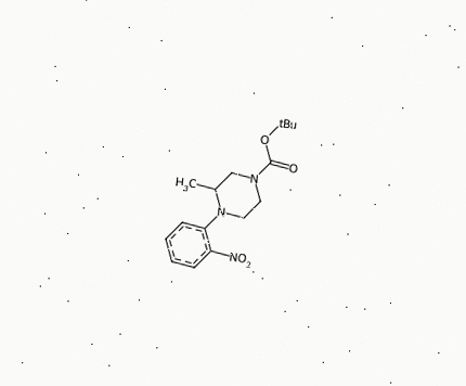 CC1CN(C(=O)OC(C)(C)C)CCN1c1ccccc1[N+](=O)[O-]